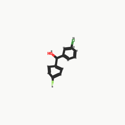 OC(c1ccc(F)cc1)c1cccc(Cl)c1